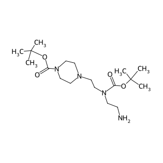 CC(C)(C)OC(=O)N(CCN)CCN1CCN(C(=O)OC(C)(C)C)CC1